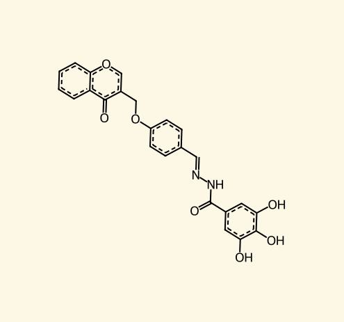 O=C(N/N=C/c1ccc(OCc2coc3ccccc3c2=O)cc1)c1cc(O)c(O)c(O)c1